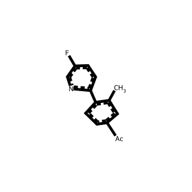 CC(=O)c1ccc(-c2ccc(F)cn2)c(C)c1